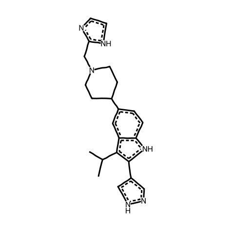 CC(C)c1c(-c2cn[nH]c2)[nH]c2ccc(C3CCN(Cc4ncc[nH]4)CC3)cc12